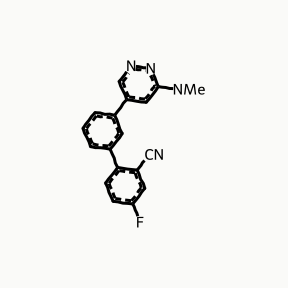 CNc1cc(-c2cccc(-c3ccc(F)cc3C#N)c2)cnn1